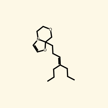 CCCC(=CCCC12COCCN1C=CO2)CCC